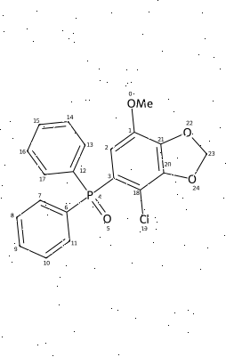 COc1cc(P(=O)(c2ccccc2)c2ccccc2)c(Cl)c2c1OCO2